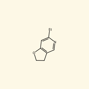 CCc1cc2c(cn1)CCO2